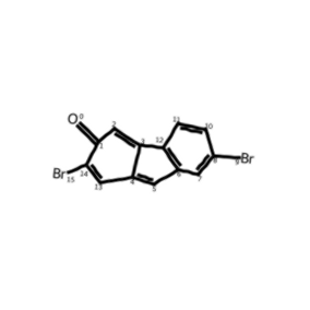 O=C1C=C2C(=Cc3cc(Br)ccc32)C=C1Br